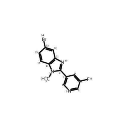 Cn1c(-c2cncc(F)c2)nc2cc(Br)ccc21